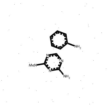 CNc1ncnc(N)n1.Nc1ccccc1